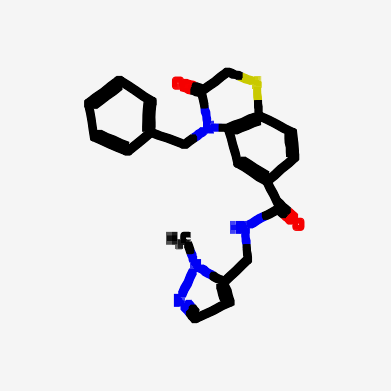 Cn1nccc1CNC(=O)c1ccc2c(c1)N(Cc1ccccc1)C(=O)CS2